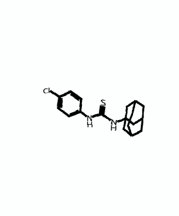 S=C(Nc1ccc(Cl)cc1)NC12CC3CC(CC(C3)C1)C2